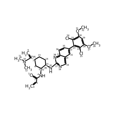 C=CC(=O)N[C@H]1C[C@H](C(=C)N(C)C)CC[C@H]1Nc1ncc2cc(-c3c(Cl)c(OC)cc(OC)c3Cl)ccc2n1